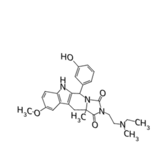 CCN(C)CCN1C(=O)N2C(c3cccc(O)c3)c3[nH]c4ccc(OC)cc4c3CC2(C)C1=O